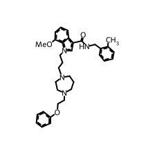 COc1cccc2c(C(=O)NCc3ccccc3C)cn(CCCN3CCCN(CCOc4ccccc4)CC3)c12